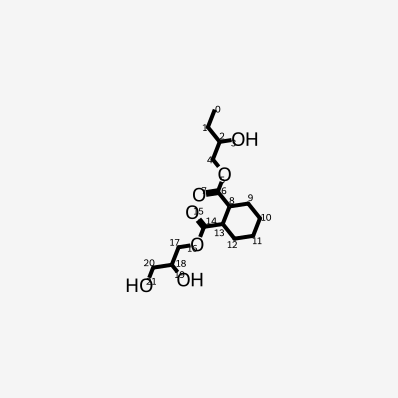 CCC(O)COC(=O)C1CCCCC1C(=O)OCC(O)CO